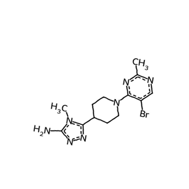 Cc1ncc(Br)c(N2CCC(c3nnc(N)n3C)CC2)n1